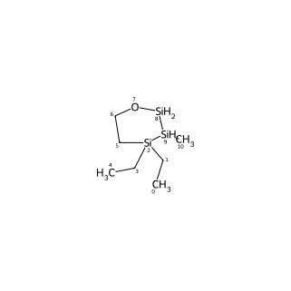 CC[Si]1(CC)CCO[SiH2][SiH]1C